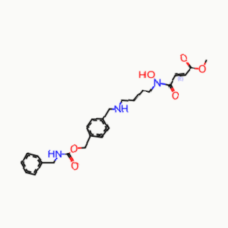 COC(=O)/C=C/C(=O)N(O)CCCCNCc1ccc(COC(=O)NCc2ccccc2)cc1